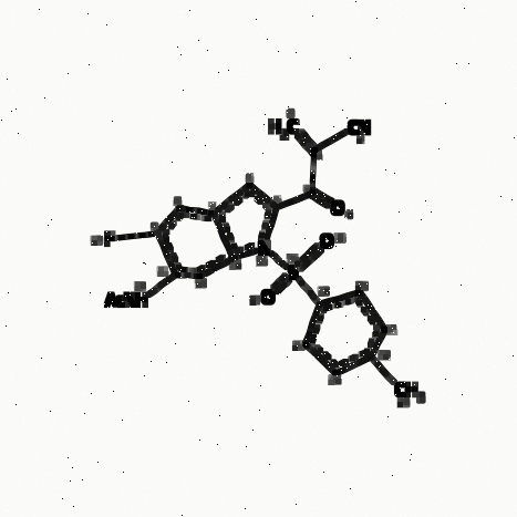 C=C(C#N)C(=O)c1cc2cc(F)c(NC(C)=O)cc2n1S(=O)(=O)c1ccc(C)cc1